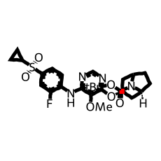 COc1c(Nc2ccc(S(=O)(=O)C3CC3)cc2F)ncnc1O[C@H]1CC2CC[C@@H](C1)N2C(=O)OC(C)(C)C